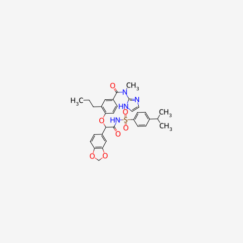 CCCc1cc(C(=O)N(C)c2ncc[nH]2)ccc1OC(C(=O)NS(=O)(=O)c1ccc(C(C)C)cc1)c1ccc2c(c1)OCO2